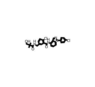 CC(C)(CO)C(=O)NCc1ccc(Cl)c(C(=O)Nc2cccc3c2cnn3-c2ccc(Cl)cc2)c1